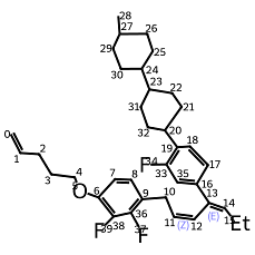 C=CCCCOc1ccc(C/C=C\C(=C/CC)c2ccc(C3CCC(C4CCC(C)CC4)CC3)c(F)c2)c(F)c1F